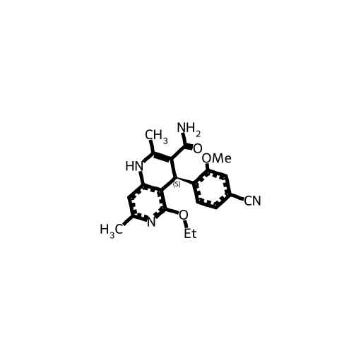 CCOc1nc(C)cc2c1[C@H](c1ccc(C#N)cc1OC)C(C(N)=O)=C(C)N2